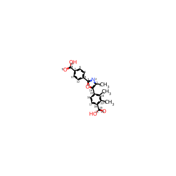 Cc1nc(-c2ccc(C(=O)O)cc2)oc1-c1ccc(C(=O)O)c(C)c1C